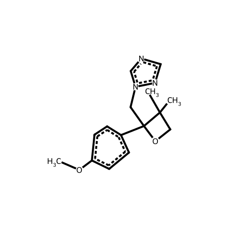 COc1ccc(C2(Cn3cncn3)OCC2(C)C)cc1